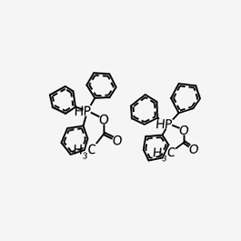 CC(=O)O[PH](c1ccccc1)(c1ccccc1)c1ccccc1.CC(=O)O[PH](c1ccccc1)(c1ccccc1)c1ccccc1